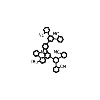 CC(C)(C)c1ccccc1-c1ccccc1-n1c2ccc(-c3cc(-c4ccccc4C#N)cc(-c4ccccc4C#N)c3)cc2c2cc(-c3cc(-c4ccccc4C#N)cc(-c4ccccc4C#N)c3)ccc21